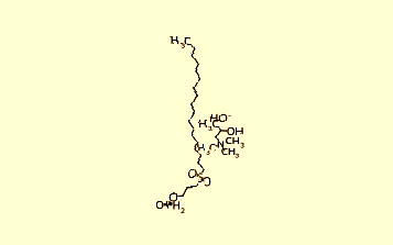 CC(O)C[N+](C)(C)C.CCCCCCCCCCCCCCCCCCS(=O)(=O)CCCO[PH2]=O.[OH-]